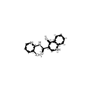 Cc1cccnc1NC(=O)c1c[nH]c2ccccc2c1=O